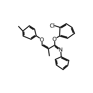 CC(=COc1ccc(C)cc1)C(=Nc1ccccc1)Oc1ccccc1Cl